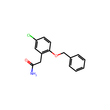 NC(=O)Cc1cc(Cl)ccc1OCc1ccccc1